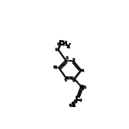 [CH2]Cc1ccc(N=C=S)cc1